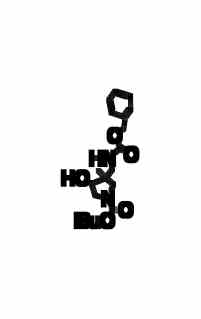 CC(C)COC(=O)N1CC(O)C(C)(CNC(=O)OCc2ccccc2)C1